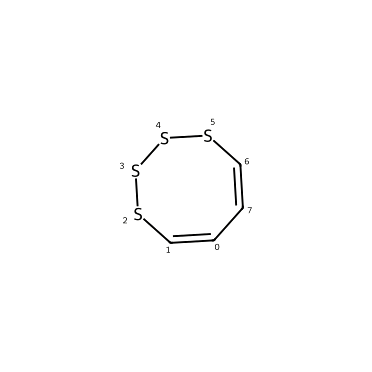 C1=CSSSSC=C1